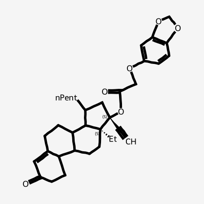 C#C[C@]1(OC(=O)COc2ccc3c(c2)OCO3)CC(CCCCC)C2C3CCC4=CC(=O)CCC4C3CC[C@@]21CC